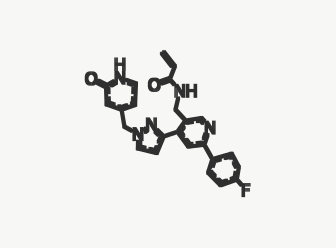 C=CC(=O)NCc1cnc(-c2ccc(F)cc2)cc1-c1ccn(Cc2cc[nH]c(=O)c2)n1